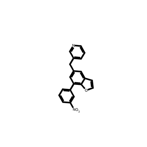 O=[N+]([O-])c1cccc(-c2cc(Cc3cccnc3)cc3ccoc23)c1